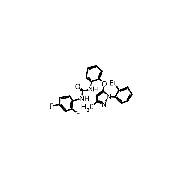 CCc1ccccc1-n1nc(C)cc1Oc1ccccc1NC(=O)Nc1ccc(F)cc1F